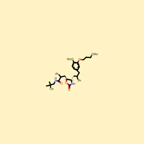 COCCCOc1cc(CC(C[C@@H]2NC(=O)O[C@H]2CC(C(=O)NCC(C)(C)C#N)C(C)C)C(C)C)ccc1OC